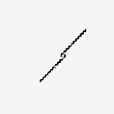 CCCCCCCCCCCCSCCCCCCN1CCN(CCCCCCSCCCCCCCCCCCC)CC1